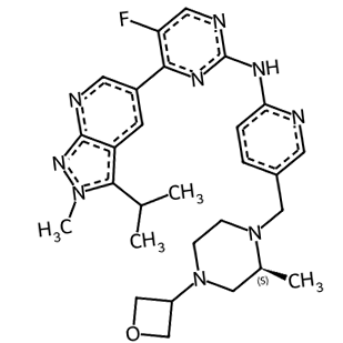 CC(C)c1c2cc(-c3nc(Nc4ccc(CN5CCN(C6COC6)C[C@@H]5C)cn4)ncc3F)cnc2nn1C